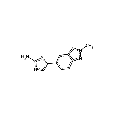 Cn1cc2cc(-c3cnc(N)s3)ccc2n1